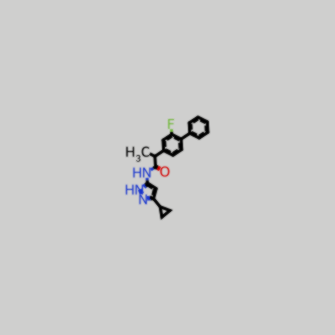 CC(C(=O)Nc1cc(C2CC2)n[nH]1)c1ccc(-c2ccccc2)c(F)c1